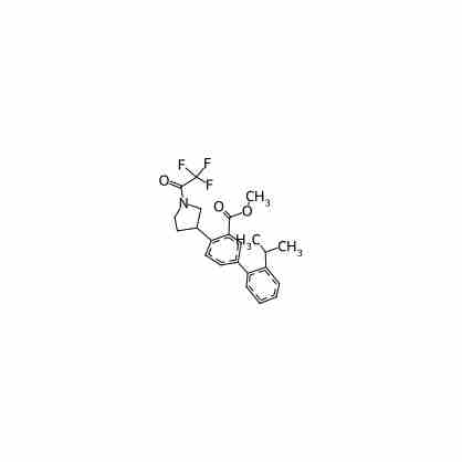 COC(=O)c1cc(-c2ccccc2C(C)C)ccc1C1CCN(C(=O)C(F)(F)F)C1